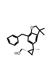 CC1(C)COc2c(Cc3ccccc3)cc([C@@]3(C)C[C@@H]3CO)cc21